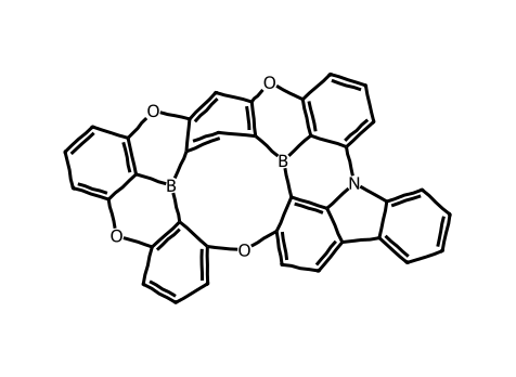 c1cc2c3c(c1)Oc1cccc4c1B3c1cc3c(cc1O2)Oc1cccc2c1B3c1c(ccc3c5ccccc5n-2c13)O4